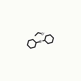 CC[O-].[B+](C1CCCCC1)C1CCCCC1